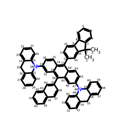 CC1(C)c2ccccc2-c2ccc(-c3c4ccc(N5c6ccccc6Cc6ccccc65)cc4c(-c4ccc5ccccc5c4)c4cc(N5c6ccccc6Cc6ccccc65)ccc34)cc21